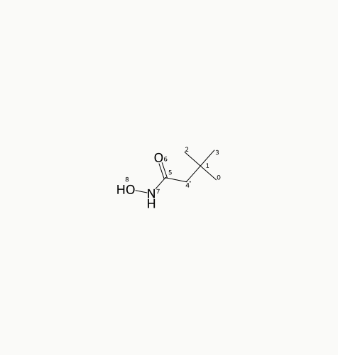 CC(C)(C)[CH]C(=O)NO